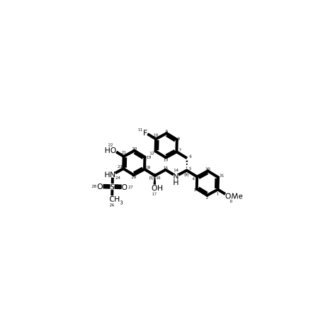 COc1ccc([C@@H](Cc2ccc(F)cc2)NC[C@@H](O)c2ccc(O)c(NS(C)(=O)=O)c2)cc1